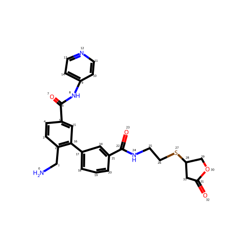 NCc1ccc(C(=O)Nc2ccncc2)cc1-c1cccc(C(=O)NCCSC2COC(=O)C2)c1